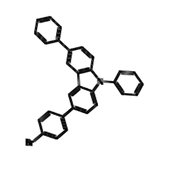 Brc1ccc(-c2ccc3c(c2)c2cc(-c4ccccc4)ccc2n3-c2ccccc2)cc1